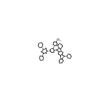 FC(F)(F)c1ccc(-c2cc(-c3nc(-c4ccccc4)nc(-c4ccccc4)n3)ccc2-n2c3ccccc3c3cc4c(cc32)c2ccccc2n4-c2ccccc2)cc1